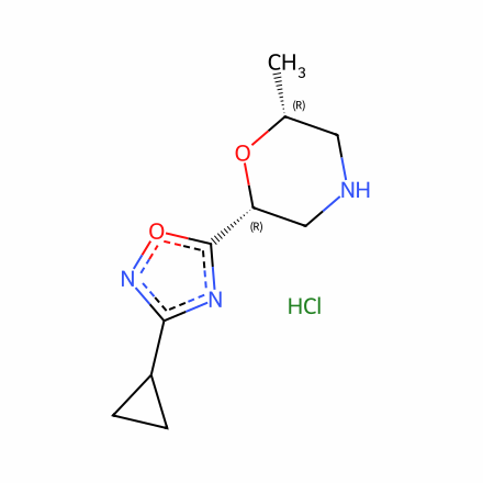 C[C@@H]1CNC[C@H](c2nc(C3CC3)no2)O1.Cl